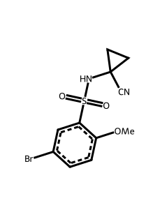 COc1ccc(Br)cc1S(=O)(=O)NC1(C#N)CC1